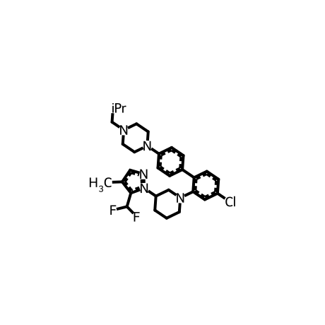 Cc1cnn(C2CCCN(c3cc(Cl)ccc3-c3ccc(N4CCN(CC(C)C)CC4)cc3)C2)c1C(F)F